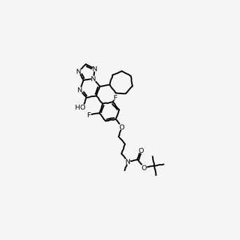 CN(CCCOc1cc(F)c(-c2c(O)nc3ncnn3c2C2CCCCCC2)c(F)c1)C(=O)OC(C)(C)C